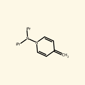 C=C1C=CN(N(C(C)C)C(C)C)C=C1